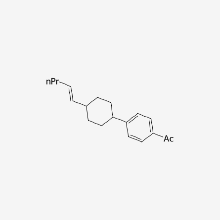 CCCC=CC1CCC(c2ccc(C(C)=O)cc2)CC1